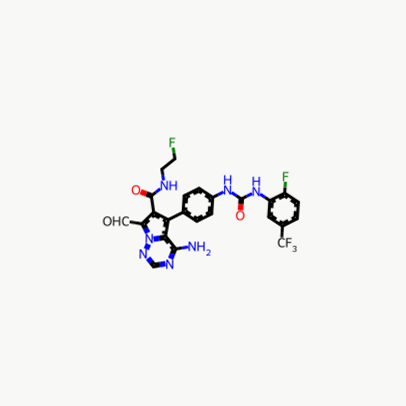 Nc1ncnn2c(C=O)c(C(=O)NCCF)c(-c3ccc(NC(=O)Nc4cc(C(F)(F)F)ccc4F)cc3)c12